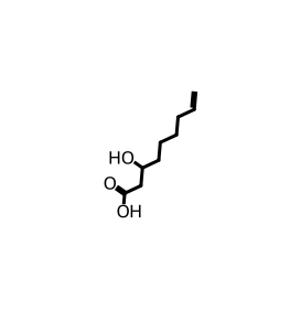 C=CCCCCC(O)CC(=O)O